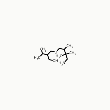 CC(C)C(CO)COCC(C)C(C)(C)CN